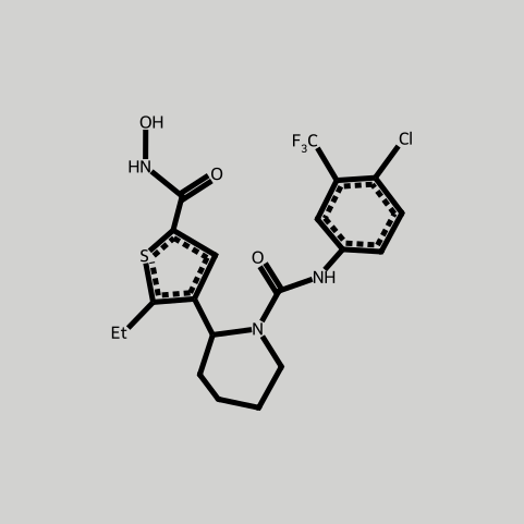 CCc1sc(C(=O)NO)cc1C1CCCCN1C(=O)Nc1ccc(Cl)c(C(F)(F)F)c1